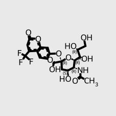 CC(=O)N[C@H]1[C@H]([C@H](O)[C@H](O)CO)O[C@](Oc2ccc3c(C(F)(F)F)cc(=O)oc3c2)(C(=O)O)C[C@@H]1O